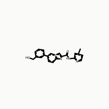 Cc1ccnc(NC(=O)c2cn3cc(-c4cccc(CO)c4)ccc3n2)c1